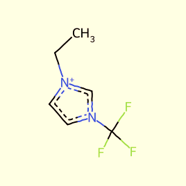 CC[n+]1ccn(C(F)(F)F)c1